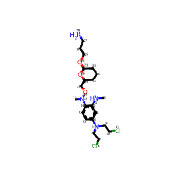 CNc1cc(N(CCCl)CCCl)ccc1N(C)OCC1CCCC(OCCCN)O1